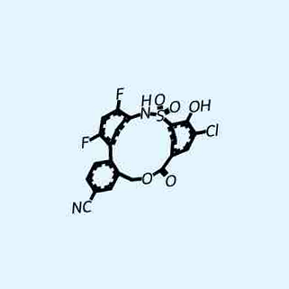 N#Cc1ccc2c(c1)COC(=O)c1cc(Cl)c(O)c(c1)S(=O)(=O)Nc1cc-2c(F)cc1F